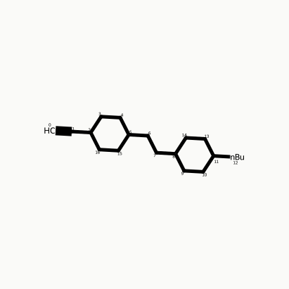 C#CC1CCC(CCC2CCC(CCCC)CC2)CC1